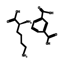 NCCCC[C@H](N)C(=O)O.O=C(O)c1cccc(C(=O)O)c1